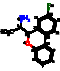 NC(C(=O)O)C1Oc2ccccc2-c2ccc(F)cc21